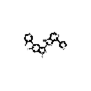 Cc1ccncc1-c1cc2c(-c3nc4c(-c5ccsc5)nccc4[nH]3)n[nH]c2cc1F